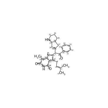 CC(C)=CCn1c(C(C(=O)c2ccccc2)N2CC3CCCNC3C2)nc2c1c(=O)[nH]c(=O)n2C